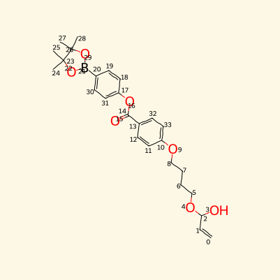 C=CC(O)OCCCCOc1ccc(C(=O)Oc2ccc(B3OC(C)(C)C(C)(C)O3)cc2)cc1